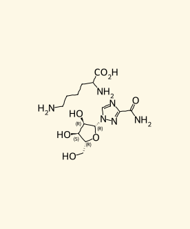 NC(=O)c1ncn([C@@H]2O[C@H](CO)[C@@H](O)[C@H]2O)n1.NCCCCC(N)C(=O)O